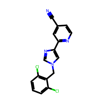 N#Cc1ccnc(-c2cn(Cc3c(Cl)cccc3Cl)cn2)c1